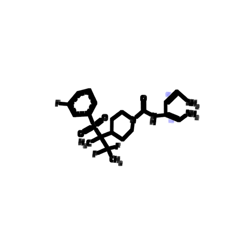 CC(F)(F)C(C)(C1CCN(C(=O)NC(/C=C\N)=C/N)CC1)S(=O)(=O)c1cccc(F)c1